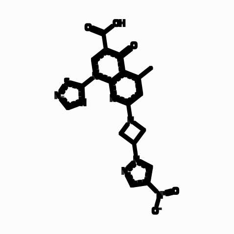 Cc1cc(N2CC(n3cc([N+](=O)[O-])cn3)C2)nc2c1c(=O)c(C(=O)O)cn2-c1ncns1